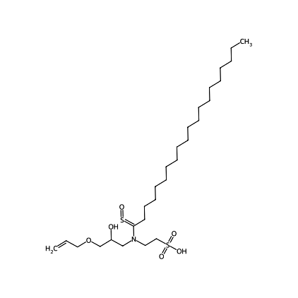 C=CCOCC(O)CN(CCS(=O)(=O)O)C(CCCCCCCCCCCCCCCCCCC)=S=O